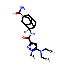 CCN(CC)c1cc(C(=O)N[C@H]2C3CC4CC2C[C@](C(N)=O)(C4)C3)nn1C